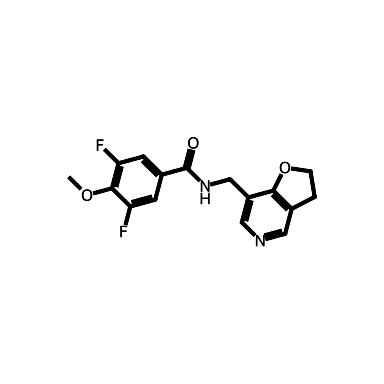 COc1c(F)cc(C(=O)NCc2cncc3c2OCC3)cc1F